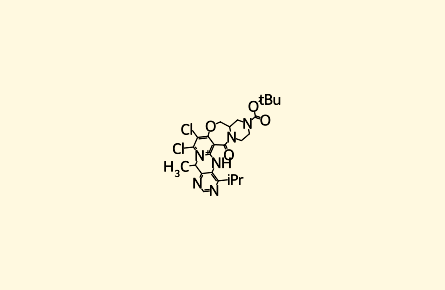 CC(C)c1ncnc2c1Nc1c3c(c(Cl)c(Cl)[n+]1C2C)OCC1CN(C(=O)OC(C)(C)C)CCN1C3=O